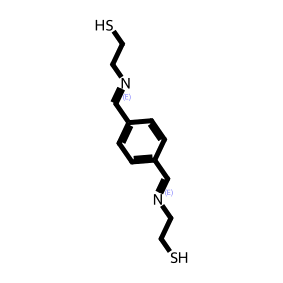 SCC/N=C/c1ccc(/C=N/CCS)cc1